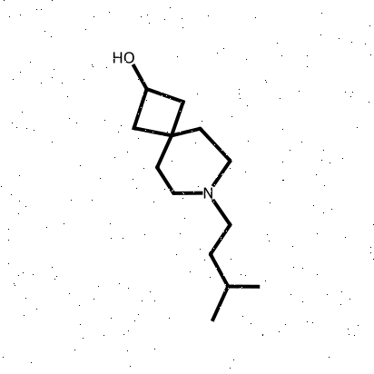 CC(C)CCN1CCC2(CC1)CC(O)C2